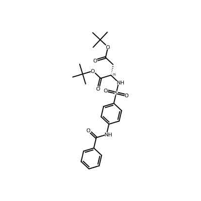 CC(C)(C)OC(=O)C[C@H](NS(=O)(=O)c1ccc(NC(=O)c2ccccc2)cc1)C(=O)OC(C)(C)C